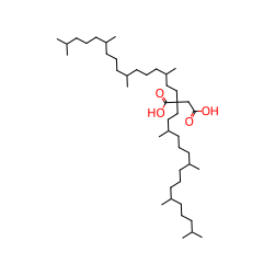 CC(C)CCCC(C)CCCC(C)CCCC(C)CCC(CCC(C)CCCC(C)CCCC(C)CCCC(C)C)(CC(=O)O)C(=O)O